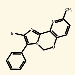 Cc1ccc2c(n1)-c1nc(Br)c(-c3ccccc3)n1CO2